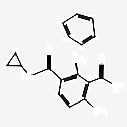 Cc1c[c]c(C(=O)NC2CC2)c(C)c1C(=O)O.[c]1ccccc1